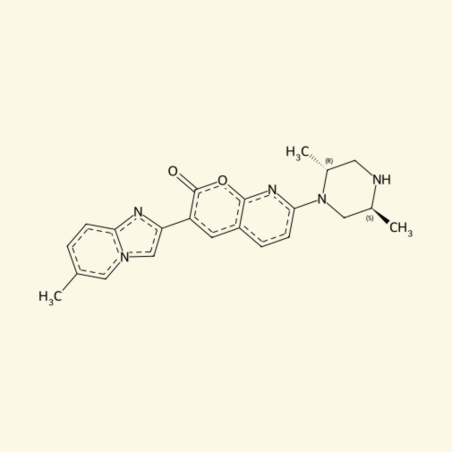 Cc1ccc2nc(-c3cc4ccc(N5C[C@H](C)NC[C@H]5C)nc4oc3=O)cn2c1